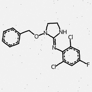 Fc1cc(Cl)c(/N=C2\NCCN2OCc2ccccc2)c(Cl)c1